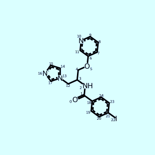 O=C(NC(COc1cccnc1)Cn1ccnc1)c1ccc(I)cc1